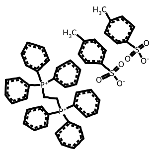 Cc1ccc(S(=O)(=O)[O-])cc1.Cc1ccc(S(=O)(=O)[O-])cc1.c1ccc([P+](CC[P+](c2ccccc2)(c2ccccc2)c2ccccc2)(c2ccccc2)c2ccccc2)cc1